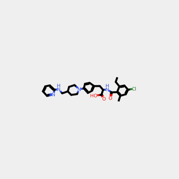 CCc1cc(Cl)cc(C)c1C(=O)NC(Cc1ccc(N2CCC(CNc3ccccn3)CC2)cc1)C(=O)O